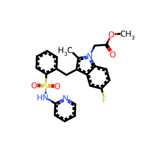 COC(=O)Cn1c(C)c(Cc2ccccc2S(=O)(=O)Nc2ccccn2)c2cc(F)ccc21